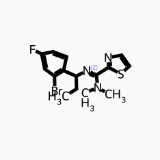 CCC(/N=C(/c1nccs1)N(C)C)c1ccc(F)cc1Br